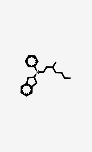 CCCCC(C)CCN(c1ccccc1)C1Cc2ccccc2C1